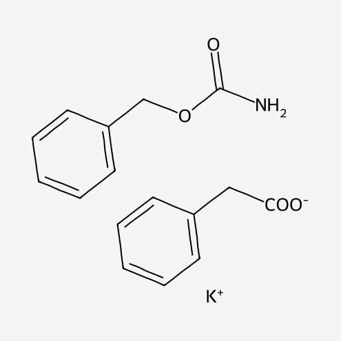 NC(=O)OCc1ccccc1.O=C([O-])Cc1ccccc1.[K+]